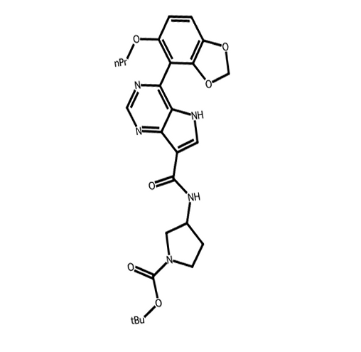 CCCOc1ccc2c(c1-c1ncnc3c(C(=O)NC4CCN(C(=O)OC(C)(C)C)C4)c[nH]c13)OCO2